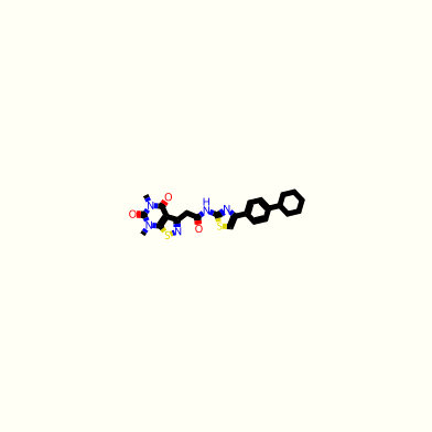 Cn1c(=O)c2c(CC(=O)Nc3nc(-c4ccc(C5CCCCC5)cc4)cs3)nsc2n(C)c1=O